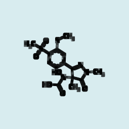 CSc1cc(C2=NN(C)C(=O)C2(C)N(O)C(=O)O)ccc1S(C)(=O)=O